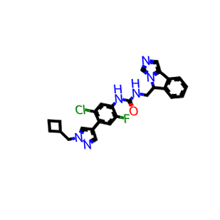 O=C(NCC1c2ccccc2-c2cncn21)Nc1cc(Cl)c(-c2cnn(CC3CCC3)c2)cc1F